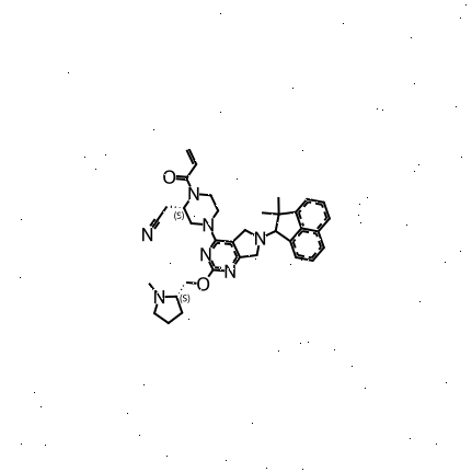 C=CC(=O)N1CCN(c2nc(OC[C@@H]3CCCN3C)nc3c2CN(C2c4cccc5cccc(c45)C2(C)C)C3)C[C@@H]1CC#N